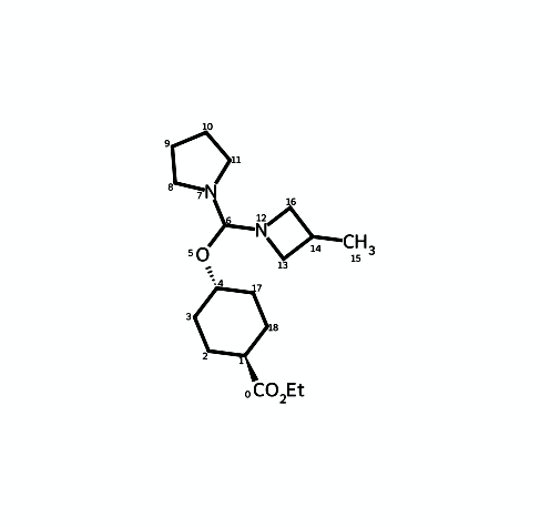 CCOC(=O)[C@H]1CC[C@H](OC(N2CCCC2)N2CC(C)C2)CC1